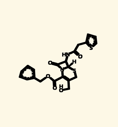 O=C(Cc1cccs1)NC1C(=O)N2C(C(=O)OCc3ccccc3)=C(CO)CS[C@@H]12